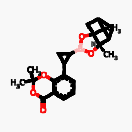 CC1(C)OC(=O)c2cccc(C3CC3B3OC45CC6CC(C64C)[C@]5(C)O3)c2O1